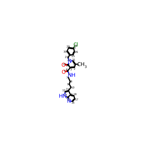 Cc1cc(C(=O)NCCCCc2c[nH]c3ncccc23)c(=O)n(Cc2ccc(Cl)cc2)c1